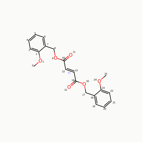 COc1ccccc1COC(=O)/C=C/C(=O)OCc1ccccc1OC